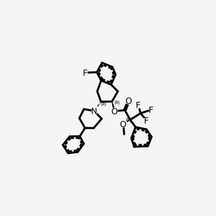 CO[C@@](C(=O)O[C@@H]1Cc2cccc(F)c2C[C@H]1N1CCC(c2ccccc2)CC1)(c1ccccc1)C(F)(F)F